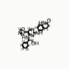 O=C1CCc2cc(Nc3ncc(-c4nnco4)c(N[C@H](CO)c4ccccc4)n3)ccc2N1